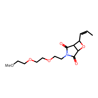 C/C=C\C1OC2C(=O)N(CCOCCOCCOC)C(=O)C12